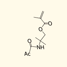 C=C(C)C(=O)OCC(C)(C)NC(=O)C(C)=O